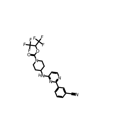 N#Cc1cccc(-c2nccc(NC3CCN(C(=O)OC(C(F)(F)F)C(F)(F)F)CC3)n2)c1